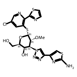 CO[C@@H]1[C@@H](n2cc(-c3csc(N)n3)nn2)[C@@H](O)[C@@H](CO)O[C@@H]1Sc1cc(Cl)cnc1-c1nccs1